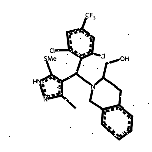 CSc1[nH]nc(C)c1C(c1c(Cl)cc(C(F)(F)F)cc1Cl)N1Cc2ccccc2CC1CO